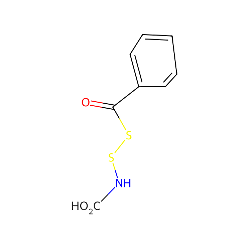 O=C(O)NSSC(=O)c1ccccc1